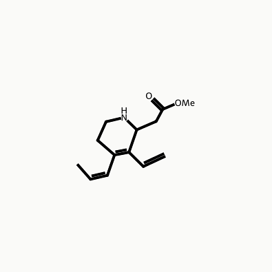 C=CC1=C(/C=C\C)CCNC1CC(=O)OC